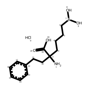 Cl.NC(CCCCB(O)O)(CCc1ccccc1)C(=O)O